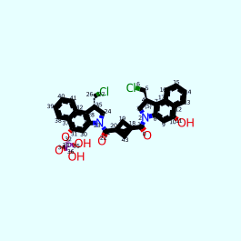 O=C(N1C[C@@H](CCl)c2c1cc(O)c1ccccc21)C12CC(C(=O)N3C[C@@H](CCl)c4c3cc(OP(=O)(O)O)c3ccccc43)(C1)C2